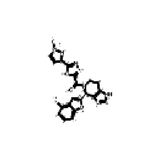 Cn1ccc(-c2nnc(C(=O)N3CCc4[nH]cnc4[C@H]3c3cc4c(F)cccc4o3)o2)n1